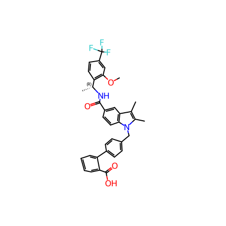 COc1cc(C(F)(F)F)ccc1[C@@H](C)NC(=O)c1ccc2c(c1)c(C)c(C)n2Cc1ccc(-c2ccccc2C(=O)O)cc1